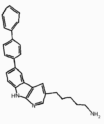 NCCCCCc1cnc2[nH]c3ccc(-c4ccc(-c5ccccc5)cc4)cc3c2c1